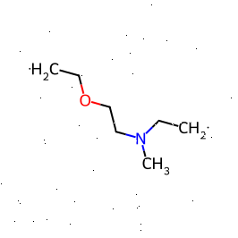 [CH2]COCCN(C)C[CH2]